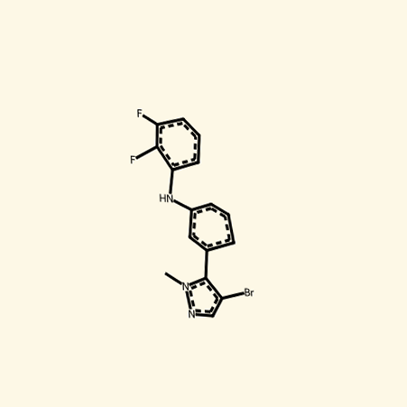 Cn1ncc(Br)c1-c1cccc(Nc2cccc(F)c2F)c1